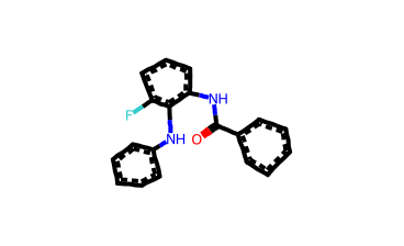 O=C(Nc1cccc(F)c1Nc1ccccc1)c1ccccc1